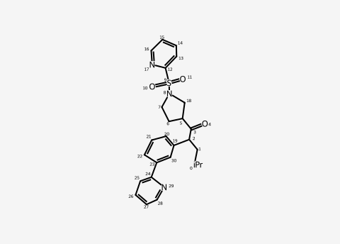 CC(C)CC(C(=O)C1CCN(S(=O)(=O)c2ccccn2)C1)c1cccc(-c2ccccn2)c1